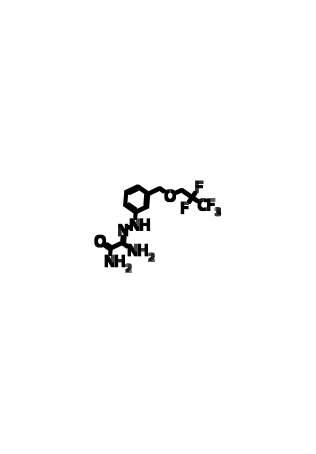 NC(=O)C(N)=NNc1cccc(COCC(F)(F)C(F)(F)F)c1